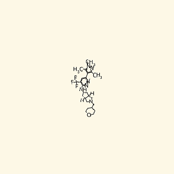 Cc1nn(C)c(C)c1-c1cc(C(F)(F)F)c(N[C@H]2C[C@@H]3CN(CC4CCOCC4)C[C@@H]3C2)nn1